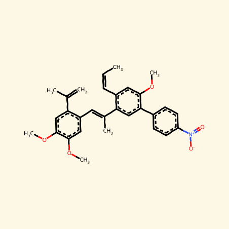 C=C(C)c1cc(OC)c(OC)cc1/C=C(\C)c1cc(-c2ccc([N+](=O)[O-])cc2)c(OC)cc1/C=C\C